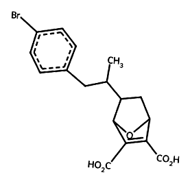 CC(Cc1ccc(Br)cc1)C1CC2OC1C(C(=O)O)=C2C(=O)O